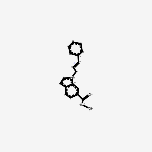 O=C(NO)c1ccc2ccn(C/C=C/c3ccccc3)c2c1